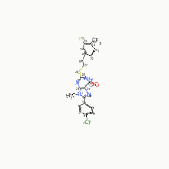 Cn1c(-c2ccc(Cl)cc2)nc2c(=O)[nH]c(SCCc3ccc(C(F)(F)F)c(F)c3)nc21